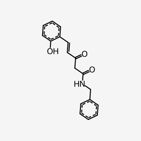 O=C(C=Cc1ccccc1O)CC(=O)NCc1ccccc1